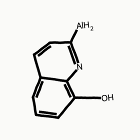 Oc1cccc2cc[c]([AlH2])nc12